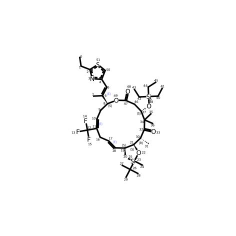 CCc1nc(/C=C(\C)[C@@H]2C/C=C(/C(F)(F)F)C/C=C/[C@H](C)[C@H](O[Si](C)(C)C(C)(C)C)[C@@H](C)C(=O)C(C)(C)[C@@H](O[Si](CC)(CC)CC)CC(=O)O2)cs1